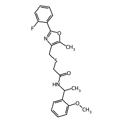 COc1ccccc1C(C)NC(=O)CSCc1nc(-c2ccccc2F)oc1C